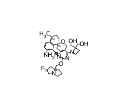 C[C@H]1CC[C@]2(Cc3nc(OC[C@@]45CCCN4C[C@H](F)C5)nc(N4CCC4(CO)CO)c3CO2)c2c1ccc(N)c2C#N